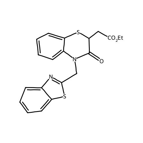 CCOC(=O)CC1Sc2ccccc2N(Cc2nc3ccccc3s2)C1=O